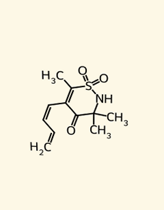 C=C/C=C\C1=C(C)S(=O)(=O)NC(C)(C)C1=O